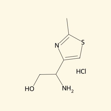 Cc1nc(C(N)CO)cs1.Cl